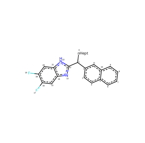 CCCCCCCC(c1ccc2ccccc2c1)c1nc2cc(F)c(F)cc2[nH]1